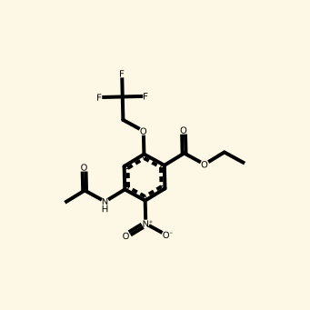 CCOC(=O)c1cc([N+](=O)[O-])c(NC(C)=O)cc1OCC(F)(F)F